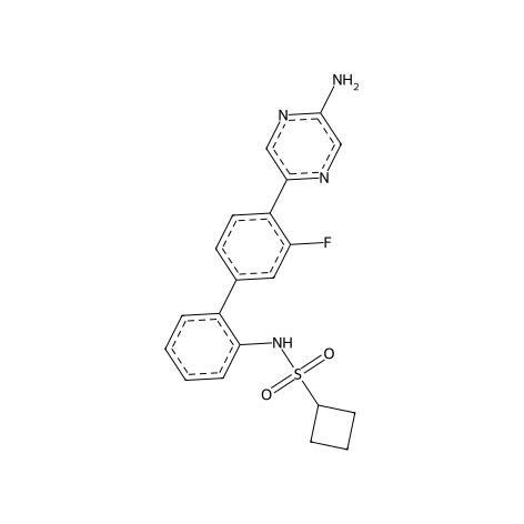 Nc1cnc(-c2ccc(-c3ccccc3NS(=O)(=O)C3CCC3)cc2F)cn1